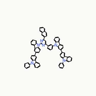 c1ccc(-n2c3ccccc3c3cc(-c4ccc5c(c4)c4ccccc4n5-c4nc(-c5cccc(-n6c7ccccc7c7ccc(-c8ccc9c(c8)c8ccccc8n9-c8ccccc8)cc76)c5)cc(-c5ccc6ccccc6c5)n4)ccc32)cc1